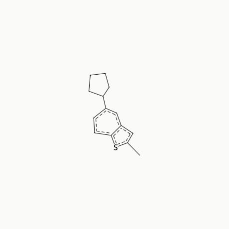 Cc1cc2cc(C3CCCC3)ccc2s1